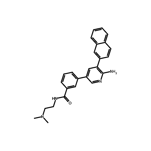 CN(C)CCNC(=O)c1cccc(-c2cnc(N)c(-c3ccc4ccccc4c3)c2)c1